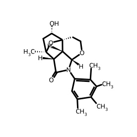 Cc1cc(N2C(=O)[C@H]3[C@H]4[C@@H]2OCC[C@@]42O[C@]3(C)C[C@@H]2O)c(C)c(C)c1C